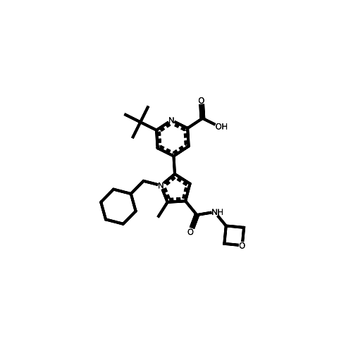 Cc1c(C(=O)NC2COC2)cc(-c2cc(C(=O)O)nc(C(C)(C)C)c2)n1CC1CCCCC1